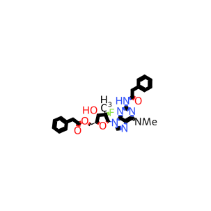 CNc1nc(NC(=O)Cc2ccccc2)nc2c1ncn2[C@@H]1O[C@H](COC(=O)Cc2ccccc2)[C@@H](O)[C@@]1(C)F